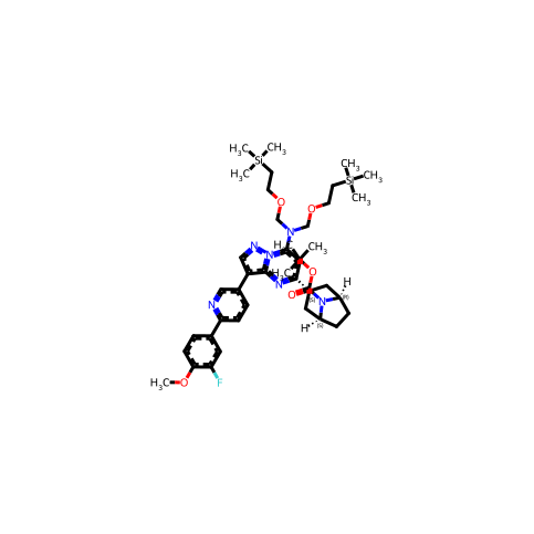 COc1ccc(-c2ccc(-c3cnn4c(N(COCC[Si](C)(C)C)COCC[Si](C)(C)C)cc([C@@H]5C[C@H]6CC[C@@H](C5)N6C(=O)OC(C)(C)C)nc34)cn2)cc1F